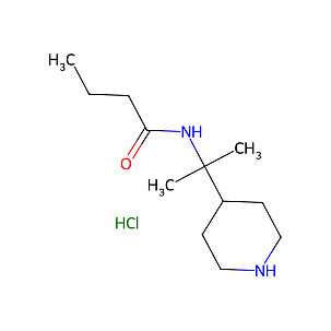 CCCC(=O)NC(C)(C)C1CCNCC1.Cl